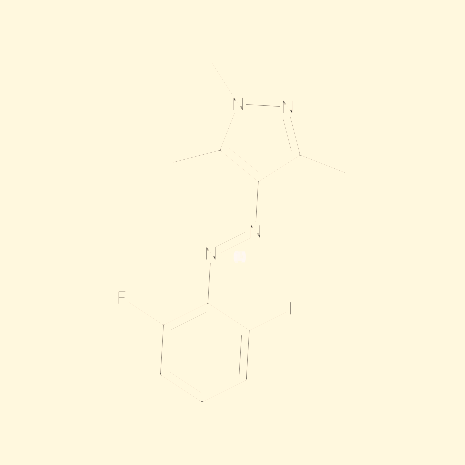 Cc1nn(C)c(C)c1/N=N/c1c(F)cccc1F